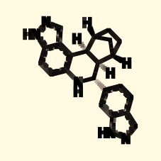 c1cc2cn[nH]c2cc1[C@@H]1Nc2ccc3[nH]ncc3c2[C@H]2[C@@H]3CC[C@@H](C3)[C@H]21